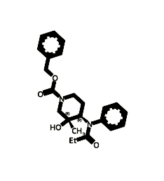 CCC(=O)N(c1ccccc1)[C@@H]1CCN(C(=O)OCc2ccccc2)C[C@@]1(C)O